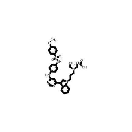 CCN(CC)CCCn1cc(-c2cc(Nc3ccc(NS(=O)(=O)c4ccc(OC)cc4)cc3)ncn2)c2ccccc21.O=CO